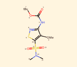 COc1c(NC(=O)OC(C)(C)C)nsc1S(=O)(=O)N(C)C